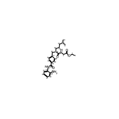 CCOC(=O)CNC(=O)N(CCCN(C)C)Cc1ccc(C(=O)Nc2ccccc2N)cc1